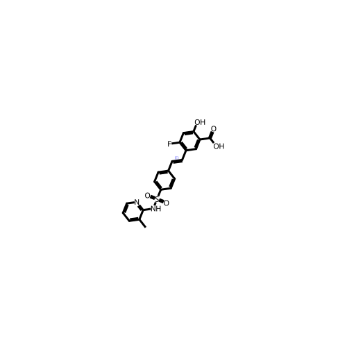 Cc1cccnc1NS(=O)(=O)c1ccc(/C=C/c2cc(C(=O)O)c(O)cc2F)cc1